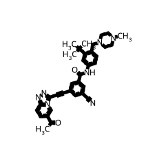 CC(=O)c1ccc2nnc(C#Cc3cc(C#N)cc(C(=O)Nc4ccc(CN5CCN(C)CC5)c(C(C)(C)C)c4)c3)n2c1